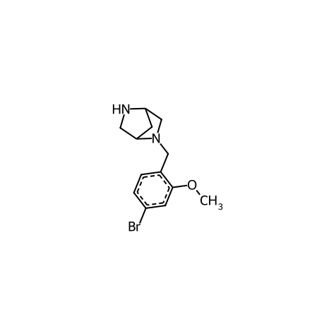 COc1cc(Br)ccc1CN1CC2CC1CN2